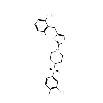 Cc1cccc(C)c1Cc1csc(N2CCC(S(=O)(=O)c3ccc(F)c(Cl)c3)CC2)n1